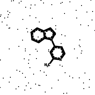 Cc1cc(-n2ccc3c[c]ccc32)ccn1